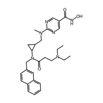 CCN(CC)CCC(=O)N(Cc1ccc2ccccc2c1)C1CC1CN(C)c1ncc(C(=O)NO)cn1